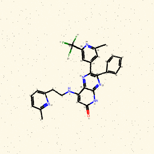 Cc1cccc(CCNc2cc(=O)[nH]c3nc(-c4ccccc4)c(-c4cc(C)nc(C(F)(F)F)c4)nc23)n1